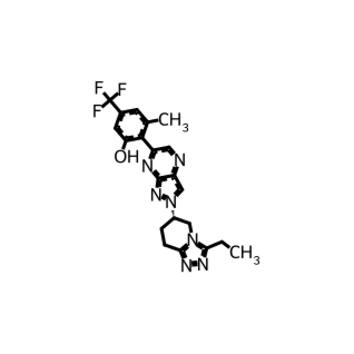 CCc1nnc2n1C[C@@H](n1cc3ncc(-c4c(C)cc(C(F)(F)F)cc4O)nc3n1)CC2